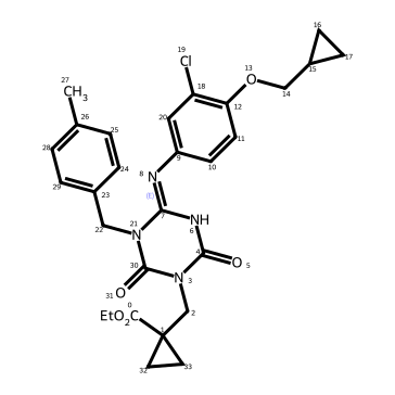 CCOC(=O)C1(Cn2c(=O)[nH]/c(=N\c3ccc(OCC4CC4)c(Cl)c3)n(Cc3ccc(C)cc3)c2=O)CC1